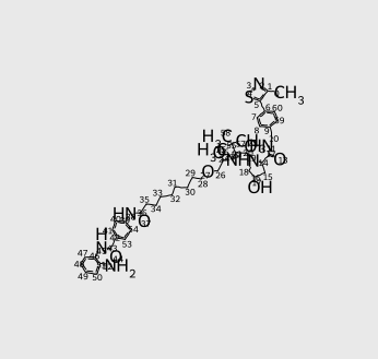 Cc1ncsc1-c1ccc(CNC(=O)C2CC(O)CN2C(=O)[C@@H](NC(=O)COCCCCCCCCC(=O)Nc2ccc(C(=O)Nc3ccccc3N)cc2)C(C)(C)C)cc1